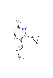 O=[N+]([O-])/C=C/c1ccc(C(F)(F)F)nc1C1CC1